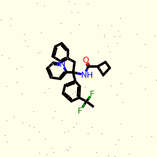 CC(F)(F)c1cccc(C(Cc2ccccc2)(NC(=O)C2CCC2)c2ccccn2)c1